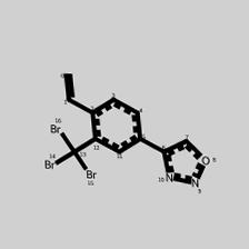 C=Cc1ccc(-c2conn2)cc1C(Br)(Br)Br